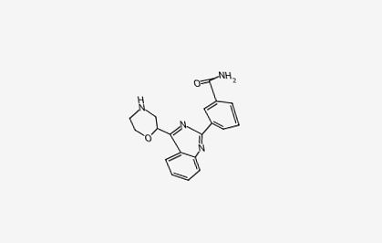 NC(=O)c1cccc(-c2nc(C3CNCCO3)c3ccccc3n2)c1